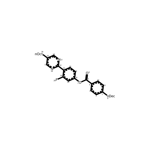 CCCCCCCCCCc1ccc(C(=O)Oc2ccc(-c3ncc(CCCCCCCC)cn3)c(F)c2)cc1